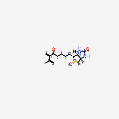 C=C(C)C(=C)C(=O)CCCC[C@H]1[C@H]2NC(=O)N[C@H]2C[S+]1[O-]